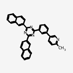 Cc1ccc(-c2cccc(-c3nc(-c4ccc5ccccc5c4)nc(-c4ccc5ccccc5c4)n3)c2)cn1